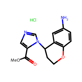 COC(=O)c1cncn1C1CCOc2ccc(N)cc21.Cl